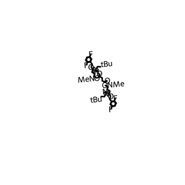 CNC(OC(=O)CCC(=O)OC(NC)c1cc(OCc2cc(F)ccc2F)n(CCC(C)(C)C)n1)c1cc(OCc2cc(F)ccc2F)n(CCC(C)(C)C)n1